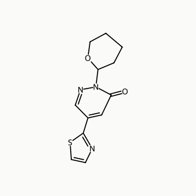 O=c1cc(-c2nccs2)cnn1C1CCCCO1